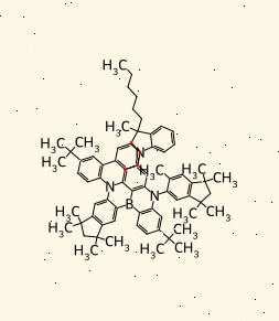 CCCCCCC1(C)CN(c2cc3c4c(c2)N(c2ccc(C(C)(C)C)cc2-c2ccccc2)c2cc5c(cc2B4c2ccc(C(C)(C)C)cc2N3c2cc3c(cc2C)C(C)(C)CC3(C)C)C(C)(C)CC5(C)C)c2ccccc21